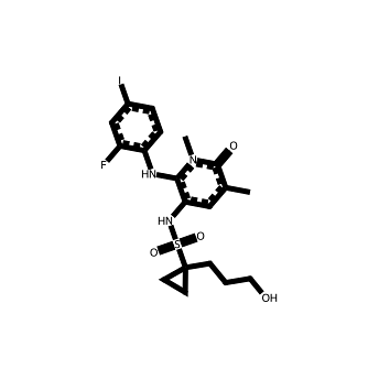 Cc1cc(NS(=O)(=O)C2(CCCO)CC2)c(Nc2ccc(I)cc2F)n(C)c1=O